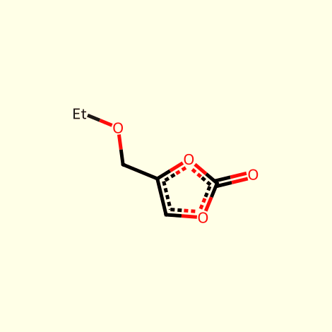 CCOCc1coc(=O)o1